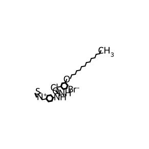 CCCCCCCCCCCCCCOc1ccc(NC(=O)Nc2ccc(C[n+]3ccsc3)cc2)c(Cl)c1.[Br-]